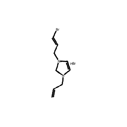 Br.C=CCN1C=CN(CC=CBr)C1